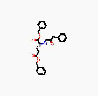 O=C(CN[C@H](CCC(=O)OCc1ccccc1)C(=O)OCc1ccccc1)Cc1ccccc1